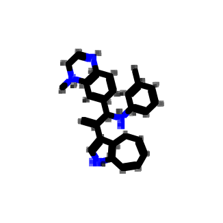 C=C(c1c[nH]c2c1CC=CC=C2)C(Nc1cccc(C)c1)c1ccc2c(c1)N(C)CC=N2